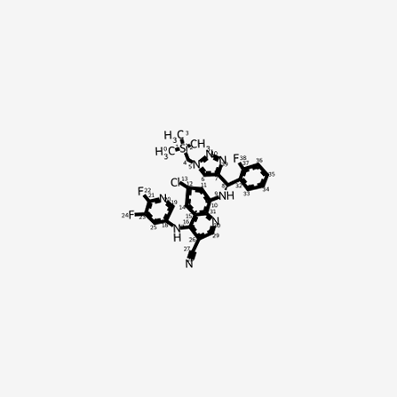 C[Si](C)(C)Cn1cc([C@@H](Nc2cc(Cl)cc3c(Nc4cnc(F)c(F)c4)c(C#N)cnc23)c2ccccc2F)nn1